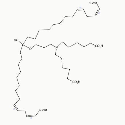 CCCCC/C=C\C/C=C\CCCCCCCCC(O)(CCCCCCCC/C=C\C/C=C\CCCCC)OCCCN(CCCCCC(=O)O)CCCCCC(=O)O